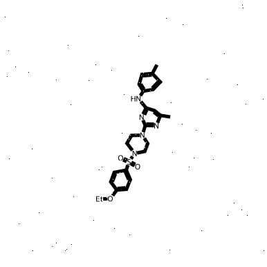 CCOc1ccc(S(=O)(=O)N2CCN(c3nc(C)cc(Nc4ccc(C)cc4)n3)CC2)cc1